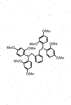 COc1ccc(P(Cc2ccccc2CP(c2ccc(OC)cc2OC)c2ccc(OC)cc2OC)c2ccc(OC)cc2OC)c(OC)c1